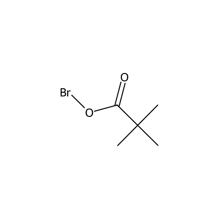 CC(C)(C)C(=O)OBr